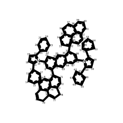 C1=Cc2ccc3c(-c4cc(-n5c(-c6ccccc6)ccc5-c5ccccc5)cc5cc6c(-c7ccc8ccc9cccc%10ccc7c8c9%10)cc(-n7c(-c8ccccc8)ccc7-c7ccccc7)cc6cc45)ccc4c3c2C(=CC4)C1